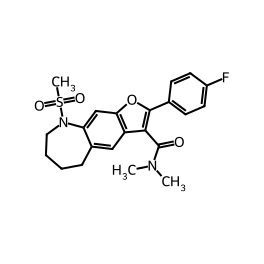 CN(C)C(=O)c1c(-c2ccc(F)cc2)oc2cc3c(cc12)CCCCN3S(C)(=O)=O